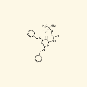 CCC(CO[Si](C)(C)C(C)(C)C)N/C(=N/C(=O)OCc1ccccc1)NC(=O)OCc1ccccc1